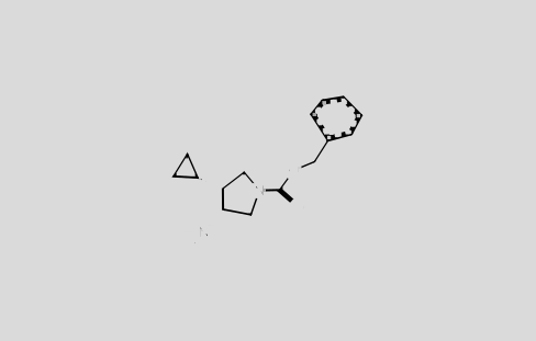 N[C@H]1CN(C(=O)OCc2ccccc2)C[C@H]1C1CC1